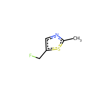 Cc1ncc(CF)s1